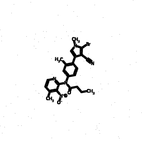 CCCC(=O)N(c1ccc(-c2cn(C)c(Br)c2C#N)c(C)c1)c1nccc(C)c1[N+](=O)[O-]